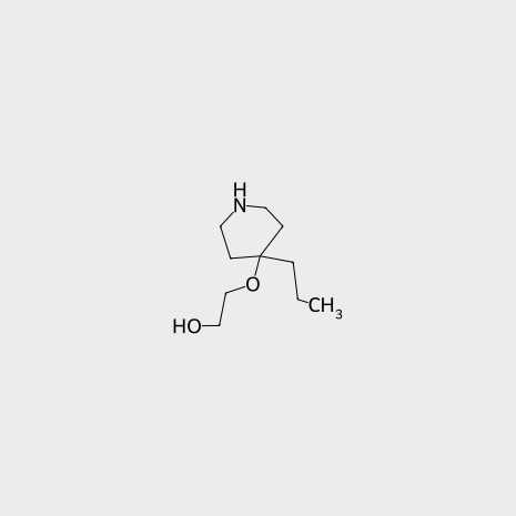 CCCC1(OCCO)CCNCC1